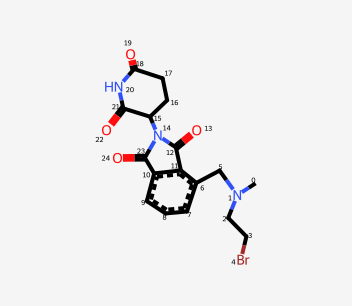 CN(CCBr)Cc1cccc2c1C(=O)N(C1CCC(=O)NC1=O)C2=O